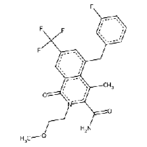 COCCn1c(C(N)=O)c(C)c2c(Cc3cccc(F)c3)cc(C(F)(F)F)cc2c1=O